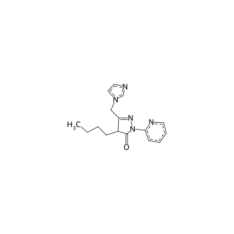 CCCCC1C(=O)N(c2ccccn2)N=C1Cn1ccnc1